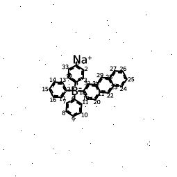 [Na+].c1ccc([B-](c2ccccc2)(c2ccccc2)c2ccc3cc4ccccc4cc3c2)cc1